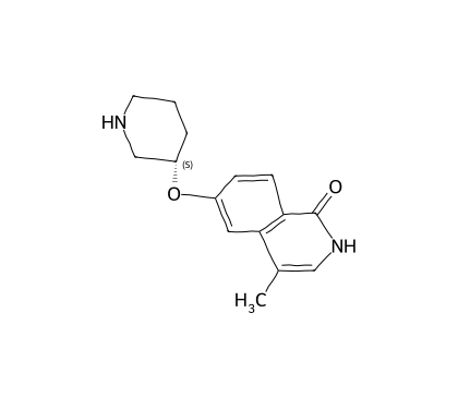 Cc1c[nH]c(=O)c2ccc(O[C@H]3CCCNC3)cc12